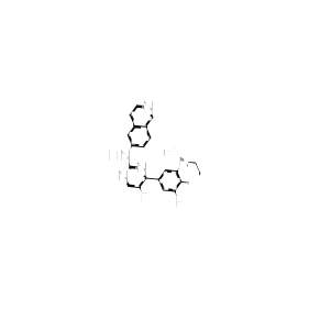 CC(C)N1CCOc2c(F)cc(-c3nc(Nc4ccc5cnccc5c4)ncc3F)cc21